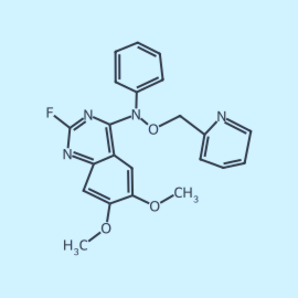 COc1cc2nc(F)nc(N(OCc3ccccn3)c3ccccc3)c2cc1OC